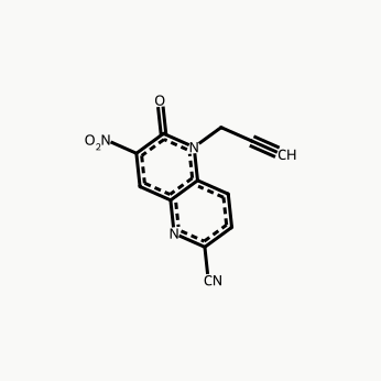 C#CCn1c(=O)c([N+](=O)[O-])cc2nc(C#N)ccc21